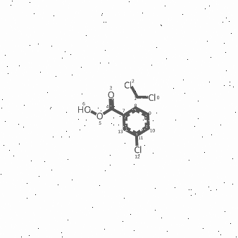 ClCCl.O=C(OO)c1cccc(Cl)c1